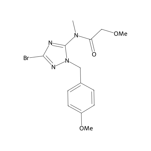 COCC(=O)N(C)c1nc(Br)nn1Cc1ccc(OC)cc1